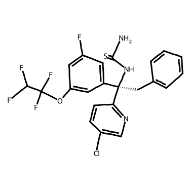 NC(=S)N[C@](Cc1ccccc1)(c1cc(F)cc(OC(F)(F)C(F)F)c1)c1ccc(Cl)cn1